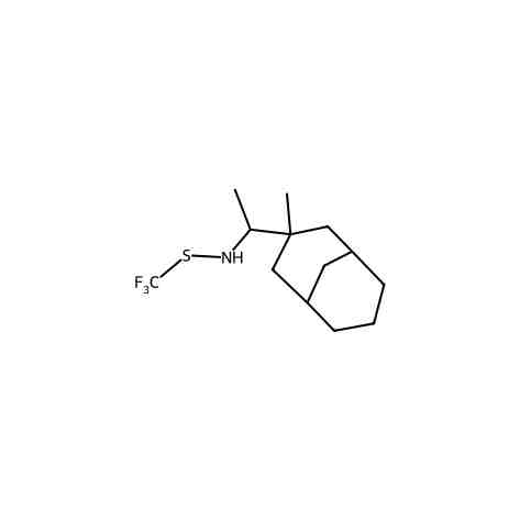 CC(NSC(F)(F)F)C1(C)CC2CCCC(C2)C1